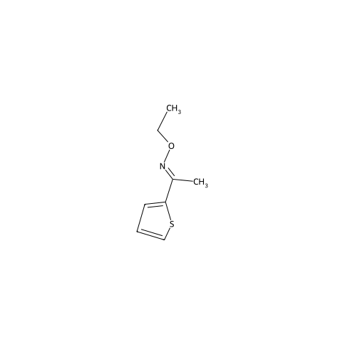 CCON=C(C)c1cccs1